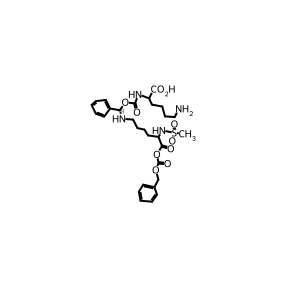 CS(=O)(=O)NC(CCCCN[C@@H](OC(=O)NC(CCCCN)C(=O)O)c1ccccc1)C(=O)OC(=O)OCc1ccccc1